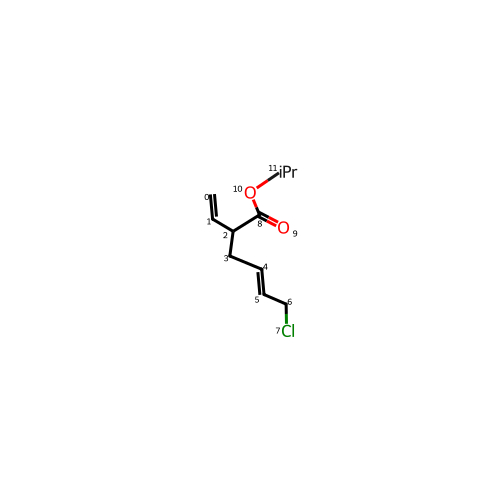 C=CC(C/C=C/CCl)C(=O)OC(C)C